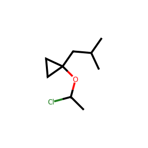 C[C](Cl)OC1(CC(C)C)CC1